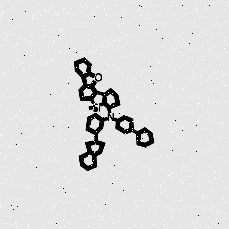 C[Si]1(C)c2ccc3c(oc4ccccc43)c2-c2cccc(N(c3ccc(-c4ccccc4)cc3)c3cccc(-c4ccc5ccccc5c4)c3)c21